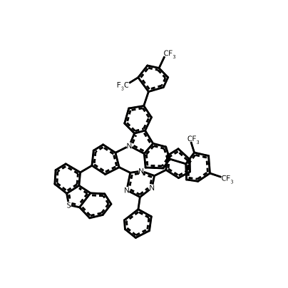 FC(F)(F)c1ccc(-c2ccc3c(c2)c2cc(-c4ccc(C(F)(F)F)cc4C(F)(F)F)ccc2n3-c2ccc(-c3cccc4sc5ccccc5c34)cc2-c2nc(-c3ccccc3)nc(-c3ccccc3)n2)c(C(F)(F)F)c1